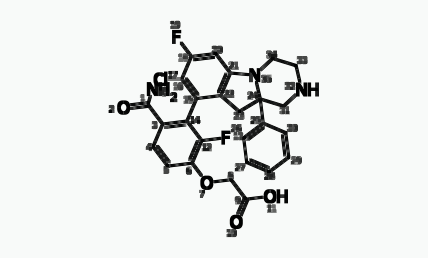 NC(=O)c1ccc(OCC(=O)O)c(F)c1-c1c(Cl)c(F)cc2c1CC1(c3ccccc3)CNCCN21